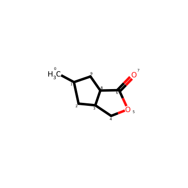 CC1CC2COC(=O)C2C1